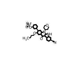 CCCCOc1cc2c(=O)c3c4ccc(C#N)cc4[nH]c3n(C3CCOCC3)c2cc1-c1cccc(OS(=O)(=O)F)c1